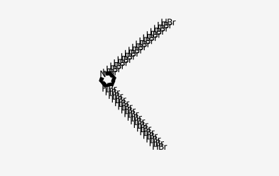 Br.Br.Br.Br.Br.Br.Br.Br.Br.Br.Br.Br.Br.Br.Br.Br.Br.Br.Br.Br.Br.Br.Br.Br.Br.Br.Br.Br.Br.Br.Br.Br.Br.Br.c1ccncc1